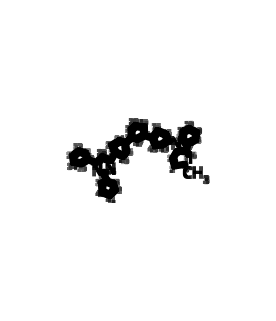 CC/C=C\c1c(I)c2ccccc2n1-c1ccc(-c2cccc(-c3ccc(-c4cc(-c5ccccc5)nc(-c5ccccc5)n4)cc3)c2)cc1